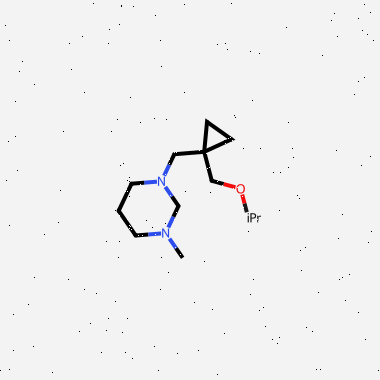 CC(C)OCC1(CN2CCCN(C)C2)CC1